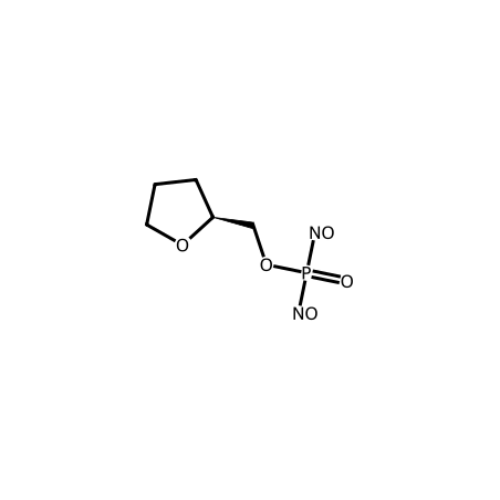 O=NP(=O)(N=O)OC[C@@H]1CCCO1